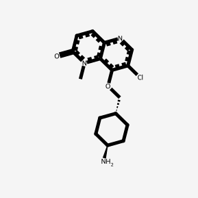 Cn1c(=O)ccc2ncc(Cl)c(OC[C@H]3CC[C@H](N)CC3)c21